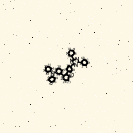 c1ccc(-c2nc(-c3ccccc3)nc(-c3ccc4c(c3)oc3cccc(-c5cccc(N(c6ccccc6)c6ccccc6)c5)c34)n2)cc1